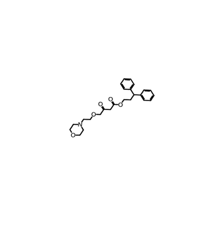 O=C(COCCN1CCOCC1)CC(=O)OCCC(c1ccccc1)c1ccccc1